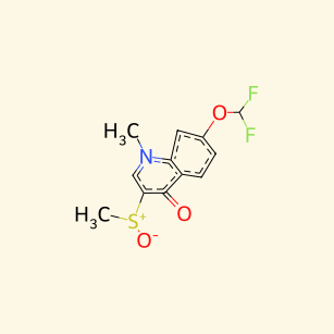 Cn1cc([S+](C)[O-])c(=O)c2ccc(OC(F)F)cc21